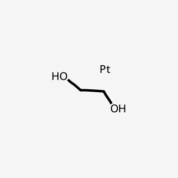 OCCO.[Pt]